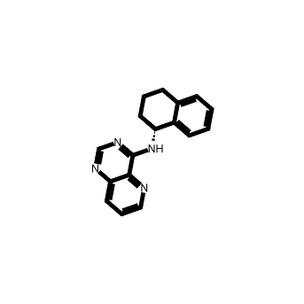 c1ccc2c(c1)CCC[C@H]2Nc1ncnc2cccnc12